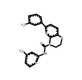 O=C(Nc1cc(C(F)(F)F)ccn1)N1CCOc2ccc(-c3cccc(C(F)(F)F)c3)nc21